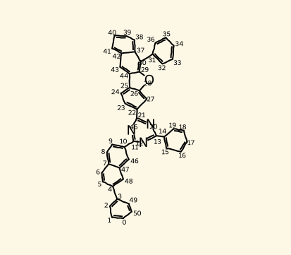 c1ccc(-c2ccc3ccc(-c4nc(-c5ccccc5)nc(-c5ccc6c(c5)oc5c(-c7ccccc7)c7ccccc7cc56)n4)cc3c2)cc1